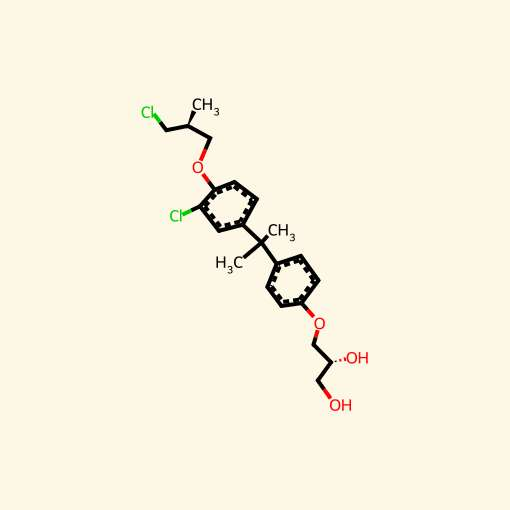 C[C@H](CCl)COc1ccc(C(C)(C)c2ccc(OC[C@H](O)CO)cc2)cc1Cl